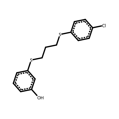 Oc1cccc(SCCCSc2ccc(Cl)cc2)c1